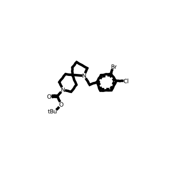 CC(C)(C)OC(=O)N1CCC2(CCCN2Cc2ccc(Cl)c(Br)c2)CC1